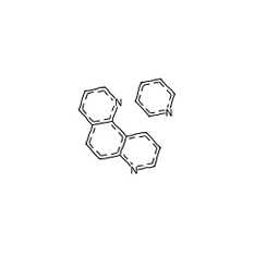 c1ccncc1.c1cnc2c(c1)ccc1ncccc12